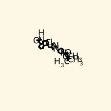 CC(C)(C)OC(=O)N1CCC(n2cc(Cc3ccc4c5c(cccc35)C(=O)N4)c(Cl)n2)CC1